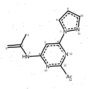 C=C(C)Nc1cc(-n2cccn2)nc(C(C)=O)n1